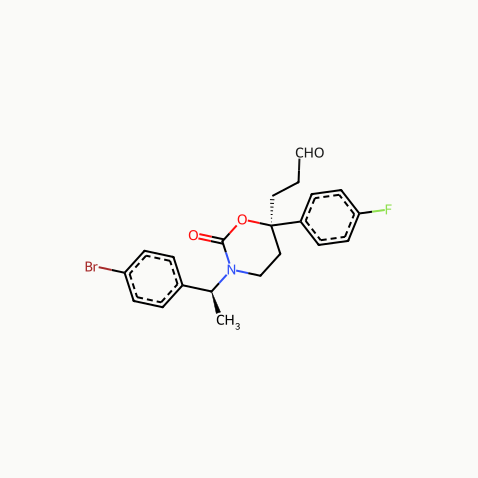 C[C@@H](c1ccc(Br)cc1)N1CC[C@](CCC=O)(c2ccc(F)cc2)OC1=O